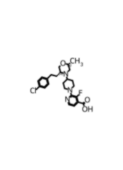 C[C@H]1CN(C2CCN(c3nccc(C(=O)O)c3F)CC2)[C@@H](CCc2ccc(Cl)cc2)CO1